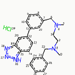 CN(CCN(C)Cc1cccc(-c2ccc3[nH]nnc3c2)c1)Cc1ccccc1.Cl